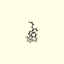 C=C/C(=C/C=C\CS(=O)(=O)S(=O)(=O)c1ccccc1CI)C/C=C\C